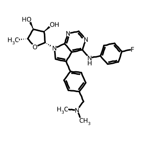 C[C@H]1O[C@@H](n2cc(-c3ccc(CN(C)C)cc3)c3c(Nc4ccc(F)cc4)ncnc32)[C@H](O)[C@@H]1O